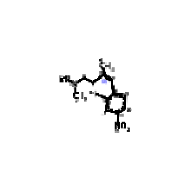 CCN(C)CC/C(C)=C\c1ccc([N+](=O)[O-])cc1I